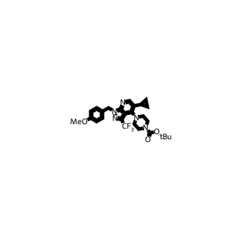 COc1ccc(Cn2nc(C(F)(F)F)c3c(N4CCN(C(=O)OC(C)(C)C)CC4)c(C4CC4)cnc32)cc1